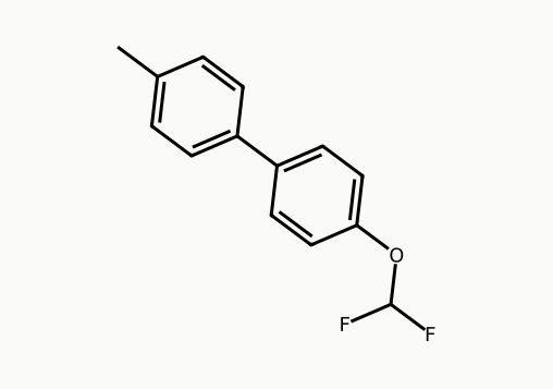 Cc1ccc(-c2ccc(OC(F)F)cc2)cc1